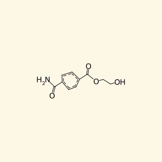 NC(=O)c1ccc(C(=O)OCCO)cc1